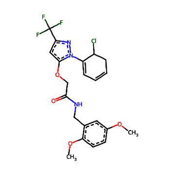 COc1ccc(OC)c(CNC(=O)COc2cc(C(F)(F)F)nn2C2=CC=CCC2Cl)c1